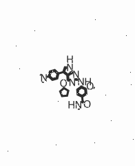 CNC(=O)c1ccc(Nc2nc(OC3CCCC3)c3c(-c4ccc(N(C)C)cc4)c[nH]c3n2)c(OC)c1